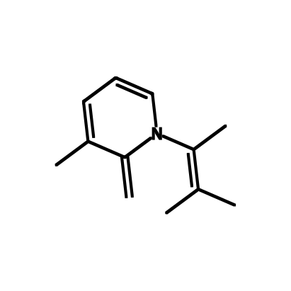 C=C1C(C)=CC=CN1C(C)=C(C)C